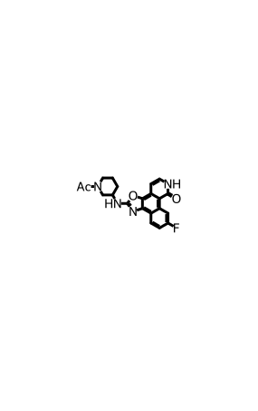 CC(=O)N1CCCC(Nc2nc3c4ccc(F)cc4c4c(=O)[nH]ccc4c3o2)C1